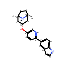 CN1[C@@H]2CC[C@H]1C[C@H](Oc1ccc(-c3ccc4[nH]ccc4c3)nc1)C2